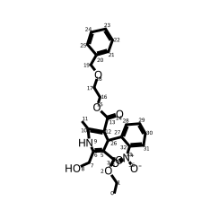 CCOC(=O)C1=C(CO)NC(C)=C(C(=O)OCCOCc2ccccc2)C1c1ccccc1[N+](=O)[O-]